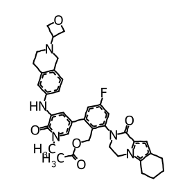 CC(=O)OCc1c(-c2cc(Nc3ccc4c(c3)CCN(C3COC3)C4)c(=O)n(C)c2)cc(F)cc1N1CCn2c(cc3c2CCCC3)C1=O